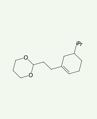 CC(C)C1CCC=C(CCC2OCCCO2)C1